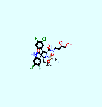 CC(C)(C)C[C@H]1N(S(=O)(=O)C(F)(F)F)[C@@H](C(=O)NCC[C@H](O)CO)[C@H](c2ccc(F)c(Cl)c2)[C@@]12C(=O)Nc1cc(Cl)c(F)cc12